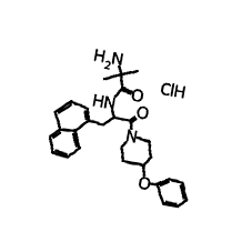 CC(C)(N)C(=O)NC(Cc1cccc2ccccc12)C(=O)N1CCC(Oc2ccccc2)CC1.Cl